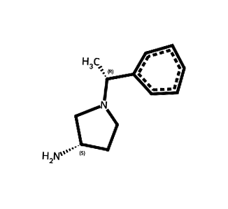 C[C@H](c1ccccc1)N1CC[C@H](N)C1